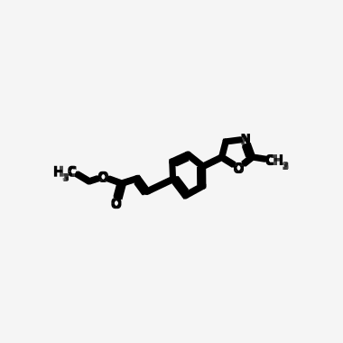 CCOC(=O)/C=C/c1ccc(C2CN=C(C)O2)cc1